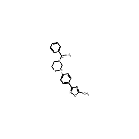 Cc1nc(-c2ccc([C@H]3CN([C@H](C)c4ccccc4)CCO3)cc2)no1